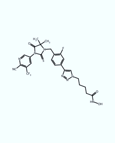 CC1(C)C(=O)N(c2cnc(C#N)c(C(F)(F)F)c2)C(=S)N1Cc1ccc(-c2cn(CCCCC(=O)NO)nn2)cc1F